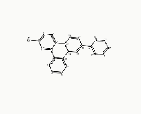 Brc1ccc2c(c1)-c1ccccc1C1C=C(c3ncccn3)C=CC21